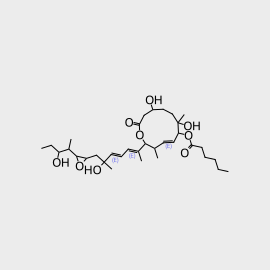 CCCCCC(=O)OC1/C=C/C(C)C(/C(C)=C/C=C/C(C)(O)CC2OC2C(C)C(O)CC)OC(=O)CC(O)CCC1(C)O